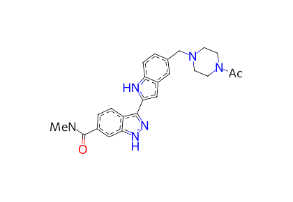 CNC(=O)c1ccc2c(-c3cc4cc(CN5CCN(C(C)=O)CC5)ccc4[nH]3)n[nH]c2c1